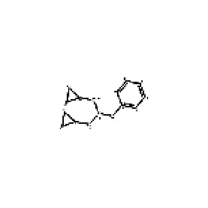 c1ccc(OP(OC2CC2)OC2CC2)cc1